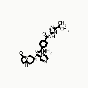 CC(C)c1nsc(NC(=O)c2ccc(C3=NC([C@@H]4CC[C@H]5CCC(=O)N5C4)=C4C=NC=C[N+]34N)cc2)n1